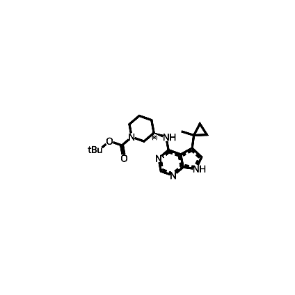 CC(C)(C)OC(=O)N1CCC[C@@H](Nc2ncnc3[nH]cc(C4(C)CC4)c23)C1